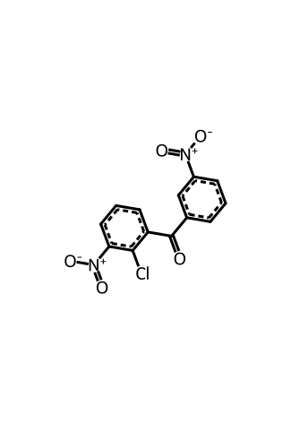 O=C(c1cccc([N+](=O)[O-])c1)c1cccc([N+](=O)[O-])c1Cl